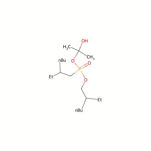 CCCCC(CC)COP(=O)(CC(CC)CCCC)OC(C)(C)O